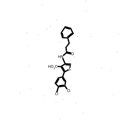 O=C(CCc1ccccc1)Nc1csc(-c2ccc(Cl)c(Cl)c2)c1C(=O)O